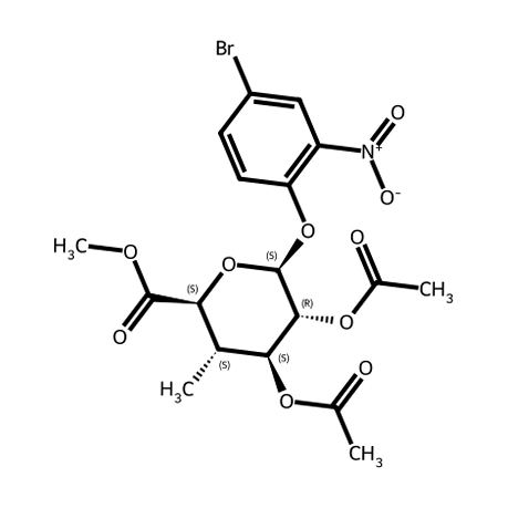 COC(=O)[C@H]1O[C@@H](Oc2ccc(Br)cc2[N+](=O)[O-])[C@H](OC(C)=O)[C@@H](OC(C)=O)[C@@H]1C